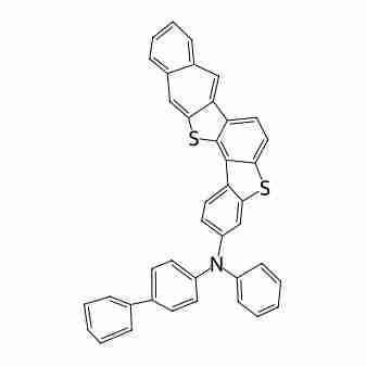 c1ccc(-c2ccc(N(c3ccccc3)c3ccc4c(c3)sc3ccc5c6cc7ccccc7cc6sc5c34)cc2)cc1